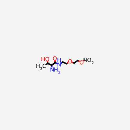 CC(O)C(N)C(=O)NCCOCCO[N+](=O)[O-]